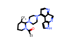 CCC(=O)N1CCCC(C(F)(F)F)C1N1CCN(c2ccnc3cnc4[nH]ccc4c23)CC1